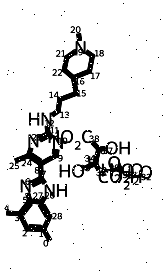 Cc1cc(C)c2nc(-c3cnc(NCCCC4CCN(C)CC4)nc3C)[nH]c2c1.O.O.O.O.O=C(O)C(O)C(O)C(=O)O